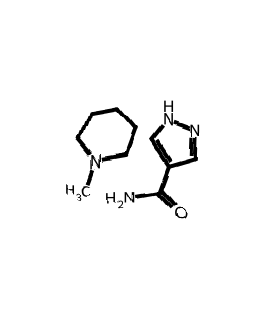 CN1CCCCC1.NC(=O)c1cn[nH]c1